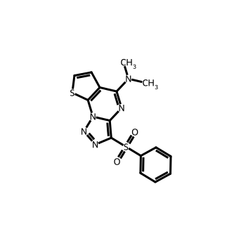 CN(C)c1nc2c(S(=O)(=O)c3ccccc3)nnn2c2sccc12